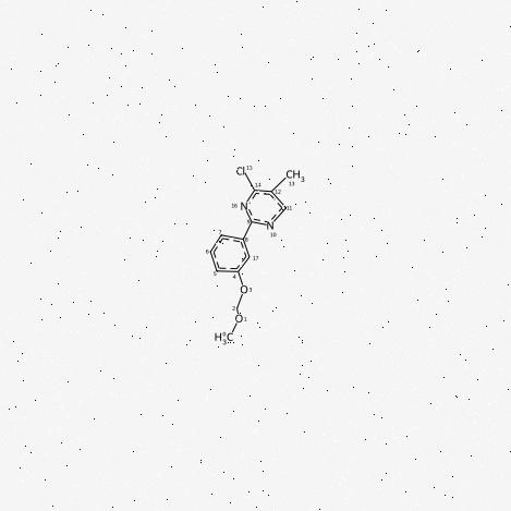 COCOc1cccc(-c2ncc(C)c(Cl)n2)c1